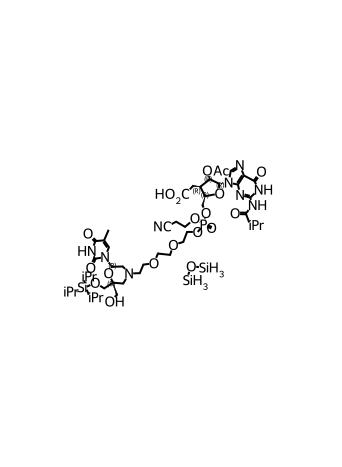 CC(=O)O[C@@H]1[C@H](CC(=O)O)[C@H](COP(=O)(OCCC#N)OCCOCCOCCN2C[C@H](n3cc(C)c(=O)[nH]c3=O)O[C@@](CO)(CO[Si](C(C)C)(C(C)C)C(C)C)C2)O[C@H]1n1cnc2c(=O)[nH]c(NC(=O)C(C)C)nc21.[SiH3]O[SiH3]